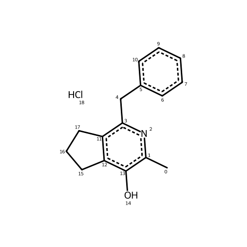 Cc1nc(Cc2ccccc2)c2c(c1O)CCC2.Cl